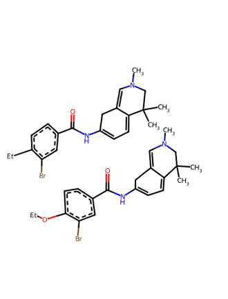 CCOc1ccc(C(=O)NC2=CC=C3C(=CN(C)CC3(C)C)C2)cc1Br.CCc1ccc(C(=O)NC2=CC=C3C(=CN(C)CC3(C)C)C2)cc1Br